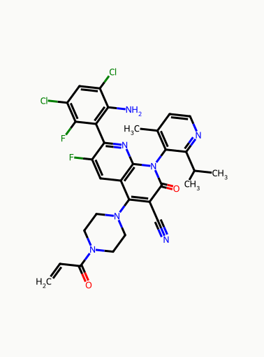 C=CC(=O)N1CCN(c2c(C#N)c(=O)n(-c3c(C)ccnc3C(C)C)c3nc(-c4c(N)c(Cl)cc(Cl)c4F)c(F)cc23)CC1